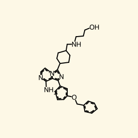 Nc1nccn2c(C3CCC(CNCCCO)CC3)nc(-c3cccc(OCc4ccccc4)c3)c12